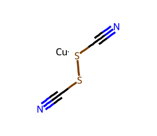 N#CSSC#N.[Cu]